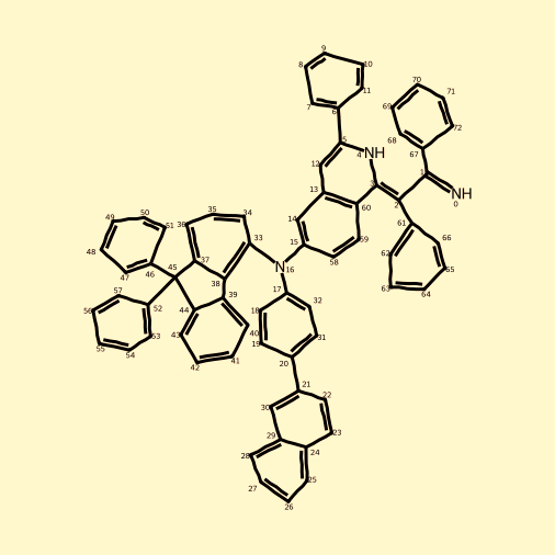 N=C(/C(=C1\NC(c2ccccc2)=Cc2cc(N(c3ccc(-c4ccc5ccccc5c4)cc3)c3cccc4c3-c3ccccc3C4(c3ccccc3)c3ccccc3)ccc21)c1ccccc1)c1ccccc1